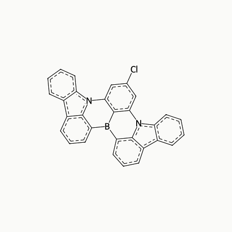 Clc1cc2c3c(c1)-n1c4ccccc4c4cccc(c41)B3c1cccc3c4ccccc4n-2c13